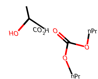 CC(O)C(=O)O.CCCOC(=O)OCCC